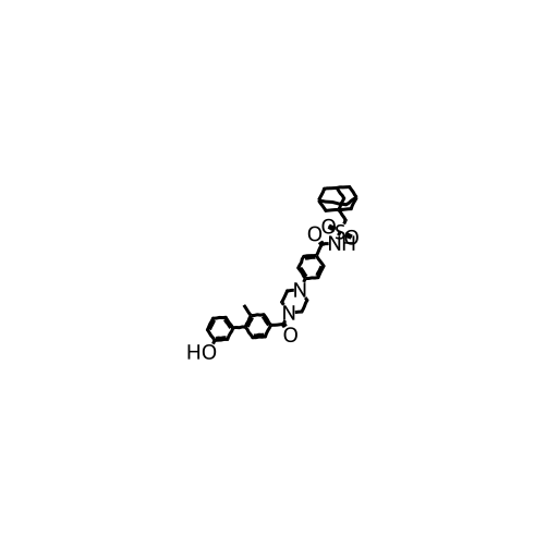 Cc1cc(C(=O)N2CCN(c3ccc(C(=O)NS(=O)(=O)CC45CC6CC(CC(C6)C4)C5)cc3)CC2)ccc1-c1cccc(O)c1